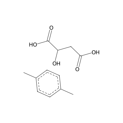 Cc1ccc(C)cc1.O=C(O)CC(O)C(=O)O